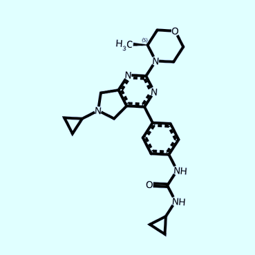 C[C@H]1COCCN1c1nc2c(c(-c3ccc(NC(=O)NC4CC4)cc3)n1)CN(C1CC1)C2